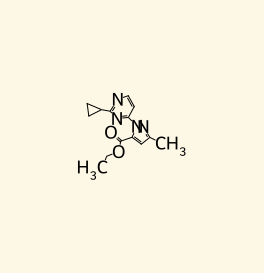 CCOC(=O)c1cc(C)nn1-c1ccnc(C2CC2)n1